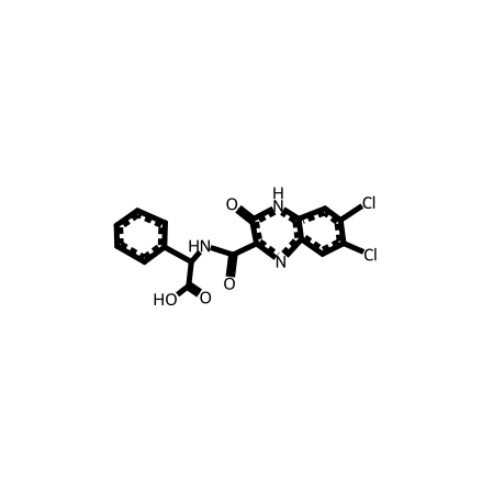 O=C(NC(C(=O)O)c1ccccc1)c1nc2cc(Cl)c(Cl)cc2[nH]c1=O